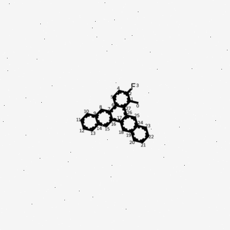 Cc1c(F)ccc2c3cc4ccccc4cc3c3cc4ccccc4cc3c12